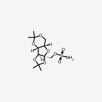 CC1(C)OC[C@@H]2O[C@@]3(COS(N)(=O)=O)OC(C)(C)O[C@H]3[C@@H]2O1